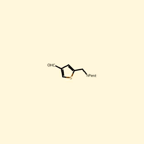 CCCCCCc1cc(C=O)cs1